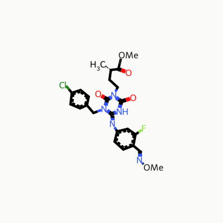 CO/N=C/c1ccc(/N=c2\[nH]c(=O)n(CC[C@H](C)C(=O)OC)c(=O)n2Cc2ccc(Cl)cc2)cc1F